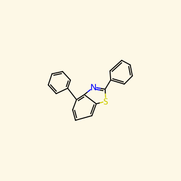 c1ccc(-c2nc3c(-c4ccccc4)cccc3s2)cc1